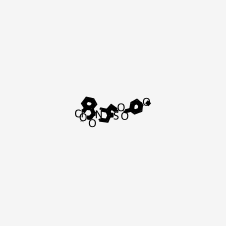 COC(=O)C(c1ccccc1Cl)N1CCc2sc(OC(=O)c3ccc(OC)cc3)cc2C1